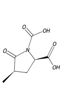 C[C@@H]1C[C@H](C(=O)O)N(C(=O)O)C1=O